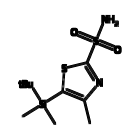 Cc1nc(S(N)(=O)=O)sc1[Si](C)(C)C(C)(C)C